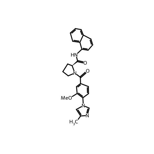 COc1cc(C(=O)N2CCC[C@H]2C(=O)Nc2cccc3ccccc23)ccc1-n1cnc(C)c1